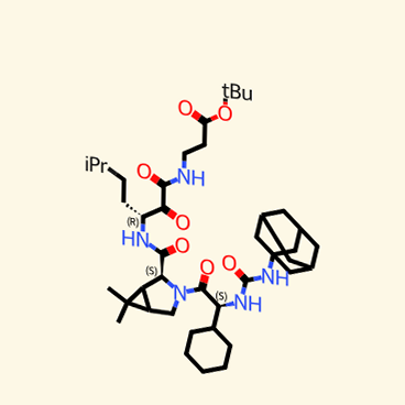 CC(C)CC[C@@H](NC(=O)[C@@H]1C2C(CN1C(=O)[C@@H](NC(=O)NC13CC4CC(CC(C4)C1)C3)C1CCCCC1)C2(C)C)C(=O)C(=O)NCCC(=O)OC(C)(C)C